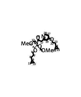 COCO[C@H](COCCCC1CC1)N(COC)C(=O)Cc1cc(OCCC2CC2)ccn1